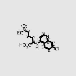 CCN(CC)CCCC(Nc1ccnc2cc(Cl)ccc12)C(=O)O